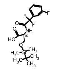 CC(C)(C)[Si](C)(C)OC[C@H](NC(=O)C(F)(F)c1cccc(F)c1)C(=O)O